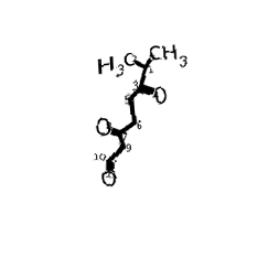 CC(C)C(=O)CCC(=O)C[C]=O